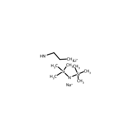 CCC[NH-].C[Si](C)(C)[N-][Si](C)(C)C.[Li+].[Na+]